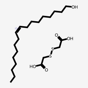 CCCCCCCC/C=C\CCCCCCCCO.O=C(O)CSSCC(=O)O